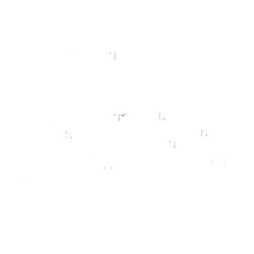 Cc1cnc(N2CCC[C@H](N(Cc3ccnc(C)c3)Cc3cn(C4CC4)c4cc(Cl)c(F)cc4c3=O)C2)cn1